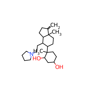 C=C1CCC2C(CCN3CCCC3)C(C3(C)CCC(O)CC3O)CCC12C